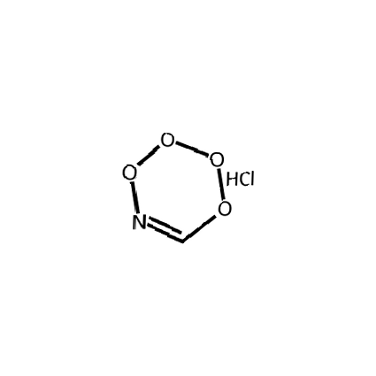 Cl.c1noooo1